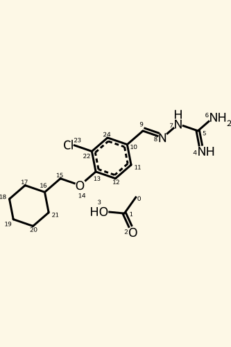 CC(=O)O.N=C(N)NN=Cc1ccc(OCC2CCCCC2)c(Cl)c1